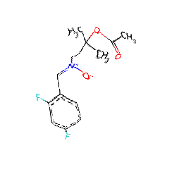 CC(=O)OC(C)(C)C[N+]([O-])=Cc1ccc(F)cc1F